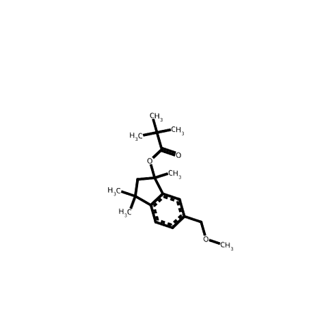 COCc1ccc2c(c1)C(C)(OC(=O)C(C)(C)C)CC2(C)C